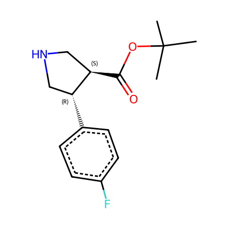 CC(C)(C)OC(=O)[C@@H]1CNC[C@H]1c1ccc(F)cc1